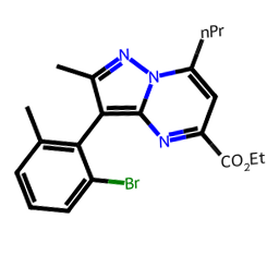 CCCc1cc(C(=O)OCC)nc2c(-c3c(C)cccc3Br)c(C)nn12